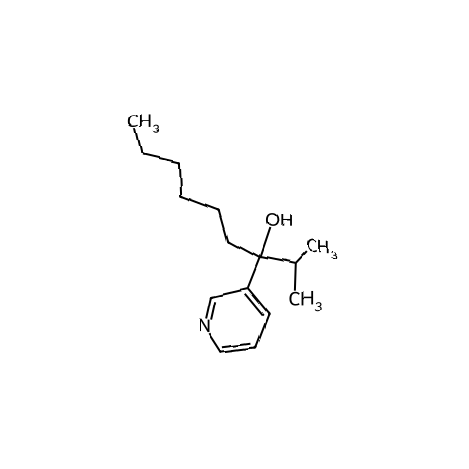 CCCCCCC(O)(c1cccnc1)C(C)C